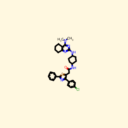 CN(C)c1nc(NC2CCC(NC(=O)Cc3sc(-c4ccccc4)nc3-c3ccc(Cl)cc3)CC2)nc2c1CCCC2